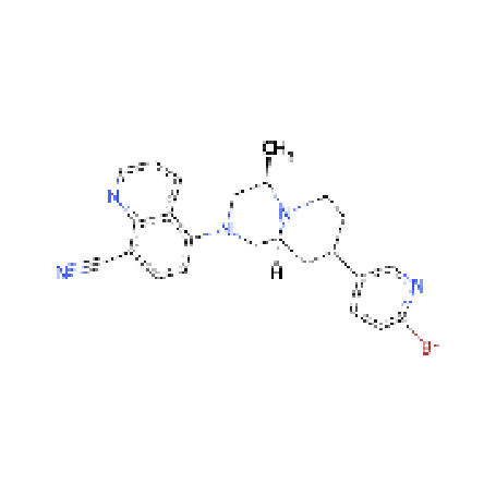 C[C@@H]1CN(c2ccc(C#N)c3ncccc23)C[C@@H]2CC(c3ccc(Br)nc3)CCN21